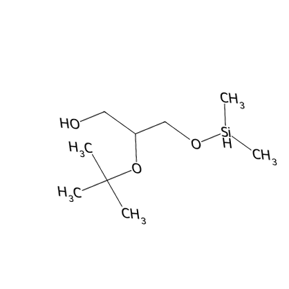 C[SiH](C)OCC(CO)OC(C)(C)C